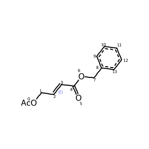 CC(=O)OC/C=C/C(=O)OCc1ccccc1